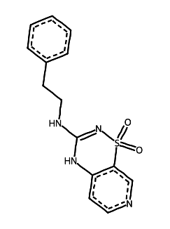 O=S1(=O)N=C(NCCc2ccccc2)Nc2ccncc21